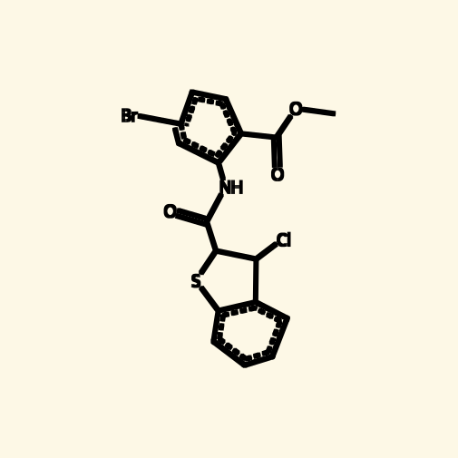 COC(=O)c1ccc(Br)cc1NC(=O)C1Sc2ccccc2C1Cl